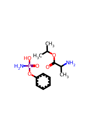 CC(C)OC(=O)C(C)N.NP(=O)(O)Oc1ccccc1